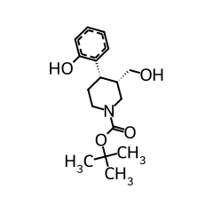 CC(C)(C)OC(=O)N1CC[C@H](c2ccccc2O)[C@H](CO)C1